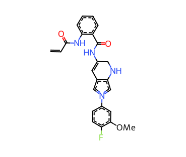 C=CC(=O)Nc1ccccc1C(=O)NC1=Cc2cn(-c3ccc(F)c(OC)c3)cc2NC1